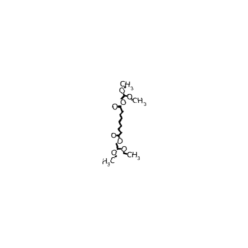 CCOC(COC(=O)CCCCCCCC(=O)OCC(OCC)OCC)OCC